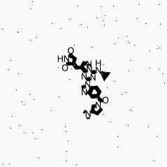 CN(C)C1CCN(C(=O)c2ccc3c(c2)ncn3-c2nc(NC3CC3)n3ncc(/C=C4\CC(=O)NC4=O)c3n2)C1